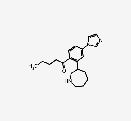 CCCCC(=O)c1ccc(-n2ccnc2)cc1C1CCCCNC1